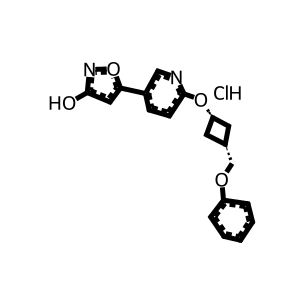 Cl.Oc1cc(-c2ccc(O[C@H]3C[C@@H](COc4ccccc4)C3)nc2)on1